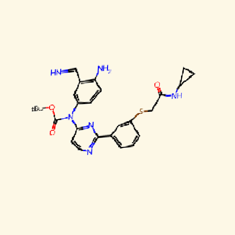 CC(C)(C)OC(=O)N(c1ccc(N)c(C=N)c1)c1ccnc(-c2cccc(SCC(=O)NC3CC3)c2)n1